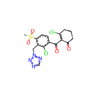 CS(=O)(=O)c1ccc(C(=O)C2=C(Cl)CCCC2=O)c(Cl)c1Cn1ncnn1